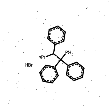 Br.CCCC(c1ccccc1)C(P)(c1ccccc1)c1ccccc1